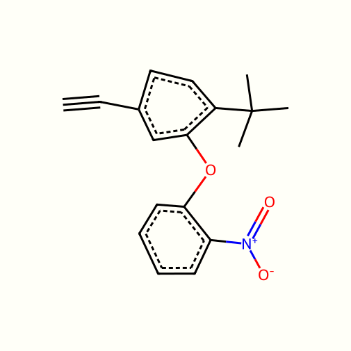 C#Cc1ccc(C(C)(C)C)c(Oc2ccccc2[N+](=O)[O-])c1